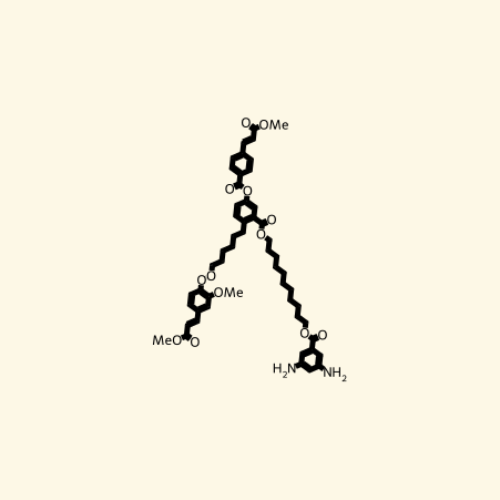 COC(=O)C=Cc1ccc(C(=O)Oc2ccc(CCCCCCOOc3ccc(C=CC(=O)OC)cc3OC)c(C(=O)OCCCCCCCCCCCOC(=O)c3cc(N)cc(N)c3)c2)cc1